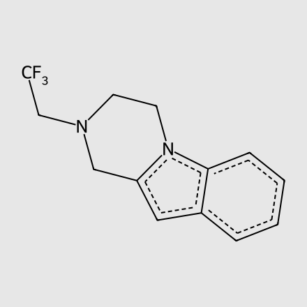 FC(F)(F)CN1CCn2c(cc3ccccc32)C1